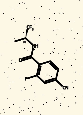 C[C@@H](NC(=O)c1ccc(C#N)cc1F)C(F)(F)F